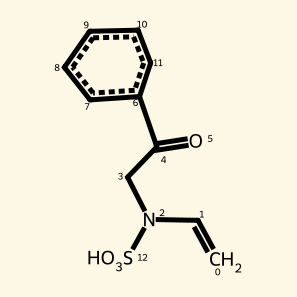 C=CN(CC(=O)c1ccccc1)S(=O)(=O)O